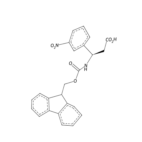 O=C(O)C[C@@H](NC(=O)OCC1c2ccccc2-c2ccccc21)c1cccc([N+](=O)[O-])c1